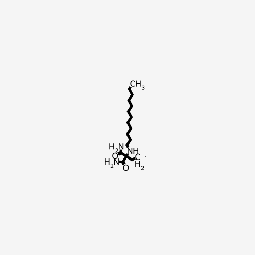 [CH2]CC(NCCCCCCCCCCCC)(C(N)=O)C(N)=O